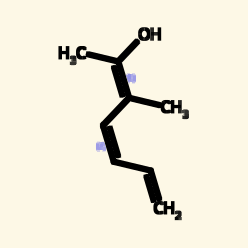 C=C/C=C\C(C)=C(/C)O